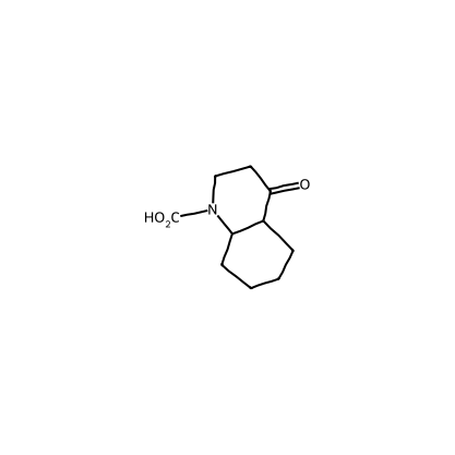 O=C1CCN(C(=O)O)C2CCCCC12